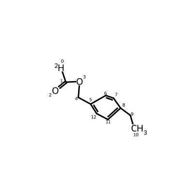 [2H]C(=O)OCc1ccc(CC)cc1